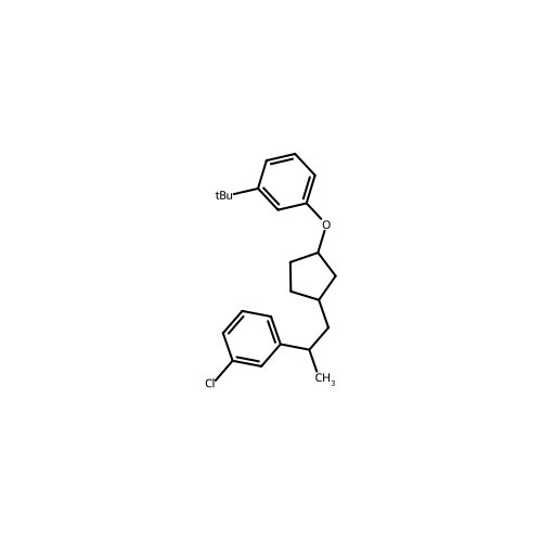 CC(CC1CCC(Oc2cccc(C(C)(C)C)c2)C1)c1cccc(Cl)c1